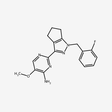 COc1cnc(-c2nn(Cc3ccccc3F)c3c2CCC3)nc1N